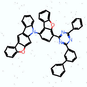 c1ccc(-c2cccc(-c3nc(-c4ccccc4)nc(-c4ccc(-n5c6ccccc6c6cc7c(cc65)oc5ccccc57)c5c4oc4ccccc45)n3)c2)cc1